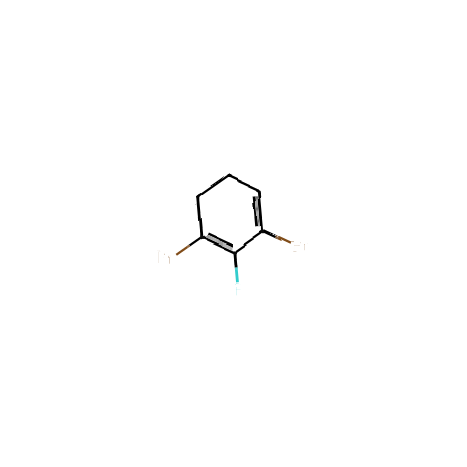 FC1=C(Br)[CH]CC=C1Br